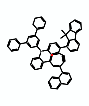 CC1(C)c2ccccc2-c2cccc(-c3ccc(N(c4cc(C5=CC=CCC5)cc(-c5ccccc5)c4)c4ccccc4C4=CCC#CC(c5cccc6ccccc56)=C4)cc3)c21